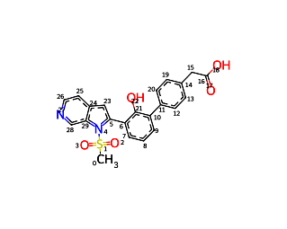 CS(=O)(=O)n1c(-c2cccc(-c3ccc(CC(=O)O)cc3)c2O)cc2ccncc21